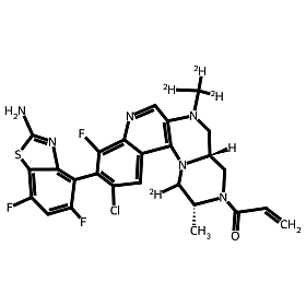 [2H]C1[C@@H](C)N(C(=O)C=C)C[C@H]2CN(C([2H])([2H])[2H])c3cnc4c(F)c(-c5c(F)cc(F)c6sc(N)nc56)c(Cl)cc4c3N12